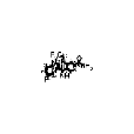 N=C(c1cnc(C(N)=O)cc1NCC(F)(F)F)c1cnc2ccc(F)cn12